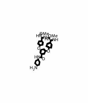 CONC(=N)c1ccc(Oc2cc(Oc3ccc(C(=N)NOC)cc3)cc(C(=O)NC3CCC(N)CC3)c2)cc1